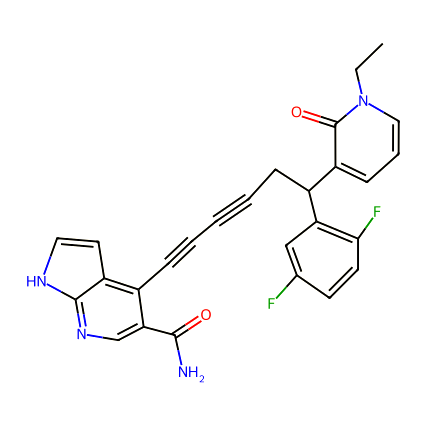 CCn1cccc(C(CC#CC#Cc2c(C(N)=O)cnc3[nH]ccc23)c2cc(F)ccc2F)c1=O